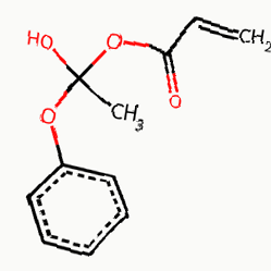 C=CC(=O)OC(C)(O)Oc1ccccc1